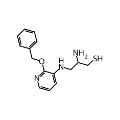 NC(CS)CNc1cccnc1OCc1ccccc1